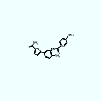 COc1ccc(C(=O)Nc2cc(-c3ccc(C(N)=O)s3)ccc2N)cc1